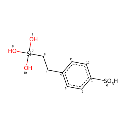 O=S(=O)(O)c1ccc(CC[Si](O)(O)O)cc1